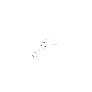 C[C@@H]1CP1CC1CN(CCCO)C(=O)c2c(O)c(=O)c(C(=O)NCc3ccc(F)c(Cl)c3F)cn21